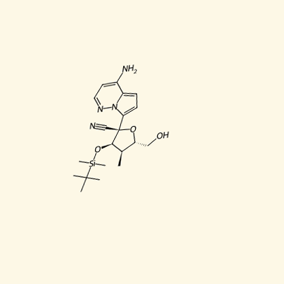 C[C@H]1[C@@H](O[Si](C)(C)C(C)(C)C)[C@](C#N)(c2ccc3c(N)ccnn23)O[C@@H]1CO